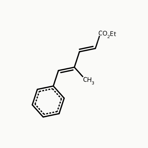 CCOC(=O)/C=C/C(C)=C/c1ccccc1